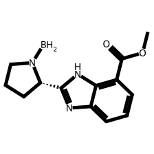 BN1CCC[C@H]1c1nc2cccc(C(=O)OC)c2[nH]1